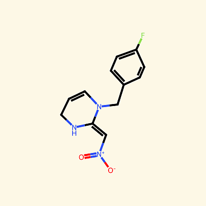 O=[N+]([O-])C=C1NCC=CN1Cc1ccc(F)cc1